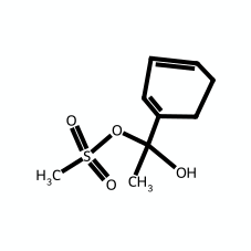 CC(O)(OS(C)(=O)=O)C1=CC=CCC1